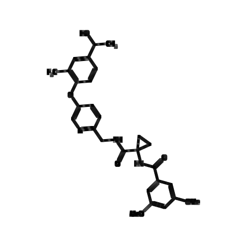 COc1cc(OC)cc(C(=O)NC2(C(=O)NCc3ccc(Oc4ccc(C(C)O)cc4C(F)(F)F)cn3)CC2)c1